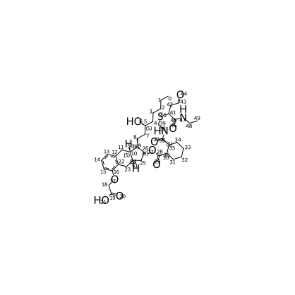 CCCCC[C@H](O)CC[C@@H]1[C@H]2Cc3cccc(OCC(=O)O)c3C[C@H]2C[C@H]1OC(=O)[C@@H]1CCCC[C@@H]1C(=O)NCSC(CC=O)C(=O)NCC